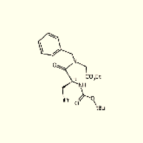 CCOC(=O)CN(Cc1ccccc1)C(=O)[C@H](CC(C)C)NC(=O)OC(C)(C)C